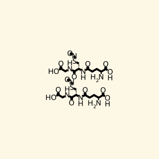 N[C@@H](CCC(=O)N[C@@H](CSN=O)C(=O)NCC(=O)O)C(=O)O.N[C@@H](CCC(=O)N[C@@H](CSN=O)C(=O)NCC(=O)O)C(=O)O